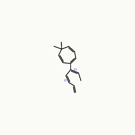 C=C/C=C\C(=C/C)C1=CC=CC(C)(C)C=C1